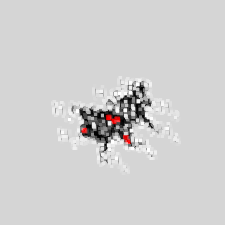 CC(C)C[C@H](NC(=O)[C@H](CC(C)C)NC(=O)[C@H](CCCCN)NC(=O)[C@H](CCCCN)NC(=O)[C@H](CC(C)C)NC(=O)[C@H](CC(C)C)NC(=O)[C@H](CCCCN)NC(=O)[C@H](CCCCN)NC(=O)[C@H](CC(C)C)NC(=O)[C@@H](N)CC(C)C)C(=O)O